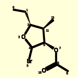 CC[C@H]1OC(Br)[C@H](OC(C)=O)[C@@H]1C